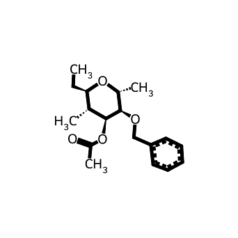 CC[C@H]1O[C@H](C)[C@@H](OCc2ccccc2)[C@@H](OC(C)=O)[C@@H]1C